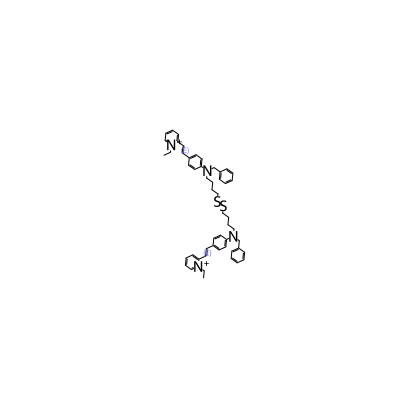 CC[n+]1ccccc1/C=C/c1ccc(N(CCCCSSCCCCN(Cc2ccccc2)c2ccc(/C=C/c3cccc[n+]3CC)cc2)Cc2ccccc2)cc1